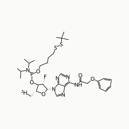 [2H]C[C@H]1O[C@@H](n2cnc3c(NC(=O)COc4ccccc4)ncnc32)[C@@H](F)C1OP(OCCCCSSC(C)(C)C)N(C(C)C)C(C)C